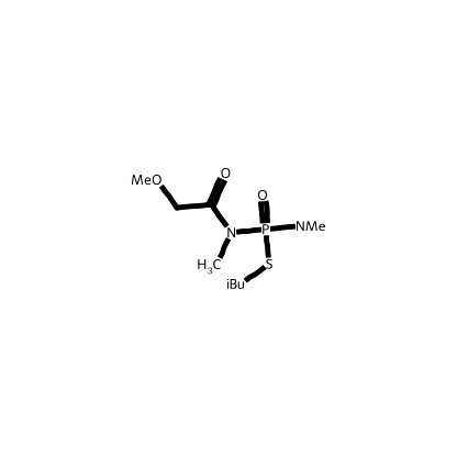 CCC(C)SP(=O)(NC)N(C)C(=O)COC